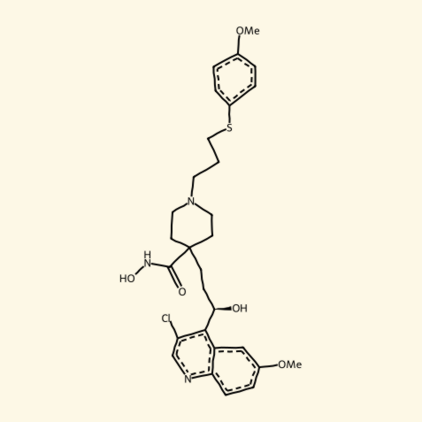 COc1ccc(SCCCN2CCC(CC[C@@H](O)c3c(Cl)cnc4ccc(OC)cc34)(C(=O)NO)CC2)cc1